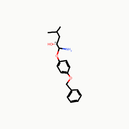 CC(C)C[C@@H](O)C(N)Oc1ccc(OCc2ccccc2)cc1